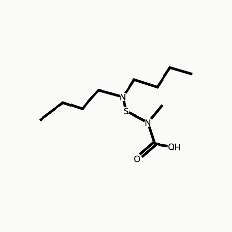 CCCCN(CCCC)SN(C)C(=O)O